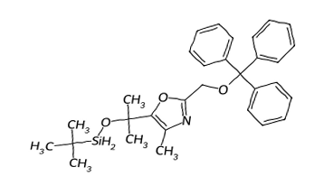 Cc1nc(COC(c2ccccc2)(c2ccccc2)c2ccccc2)oc1C(C)(C)O[SiH2]C(C)(C)C